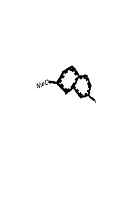 COc1ccc2ccc(I)cc2c1